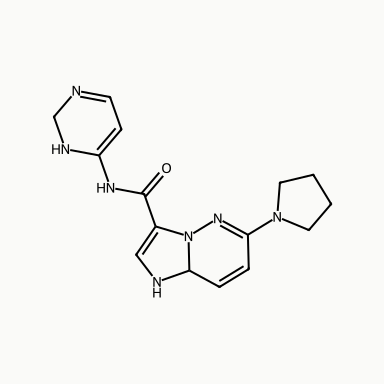 O=C(NC1=CC=NCN1)C1=CNC2C=CC(N3CCCC3)=NN12